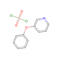 O=S(=O)(Cl)Cl.c1ccc(Oc2cccnc2)cc1